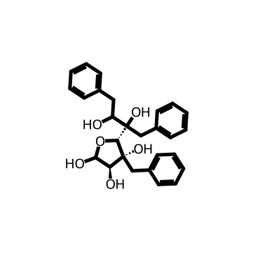 OC1O[C@H](C(O)(Cc2ccccc2)C(O)Cc2ccccc2)[C@@](O)(Cc2ccccc2)[C@H]1O